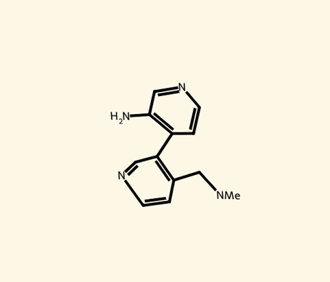 CNCc1ccncc1-c1ccncc1N